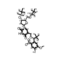 COc1cc([C@@H](OCc2cn([C@H]3C[C@H](O[Si](C)(C)C(C)(C)C)[C@@H](CO[Si](C)(C)C(C)(C)C)O3)c(=O)[nH]c2=O)C(C)(C)C)c([N+](=O)[O-])cc1I